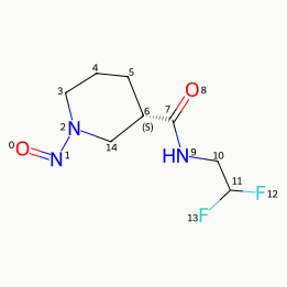 O=NN1CCC[C@H](C(=O)NCC(F)F)C1